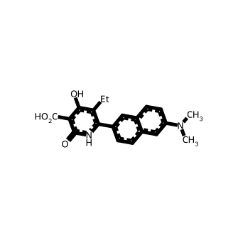 CCc1c(-c2ccc3cc(N(C)C)ccc3c2)[nH]c(=O)c(C(=O)O)c1O